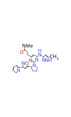 CNC(=O)CCc1cc(Nc2cc(C)[nH]n2)nc(N2CCC[C@H]2c2cc(-c3ccccn3)no2)n1